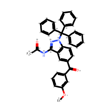 CCOc1cccc(C(=O)c2ccc3c(c2)c(NC(=O)C(F)(F)F)nn3C(c2ccccc2)(c2ccccc2)c2ccccc2)c1